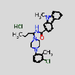 CCCC(NC(=O)c1ccc2c3ccccc3n(C)c2c1)N1CCN(c2cccc(Cl)c2C)CC1.Cl